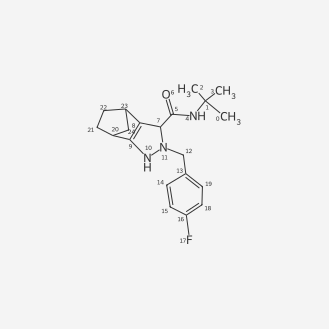 CC(C)(C)NC(=O)C1C2=C(NN1Cc1ccc(F)cc1)C1CCC2C1